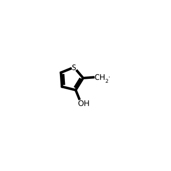 [CH2]c1sccc1O